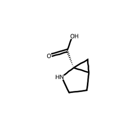 O=C(O)[C@]12CC1CCN2